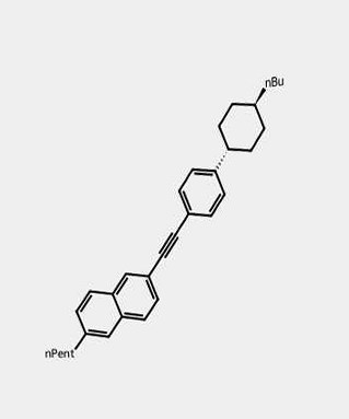 CCCCCc1ccc2cc(C#Cc3ccc([C@H]4CC[C@H](CCCC)CC4)cc3)ccc2c1